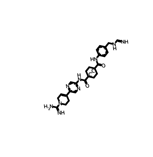 N=CNCc1ccc(NC(=O)C23CCC(C(=O)Nc4cnc(C5=CCN(C(=N)N)CC5)cn4)(CC2)CC3)cc1